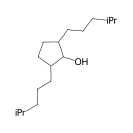 CC(C)CCCC1CCC(CCCC(C)C)C1O